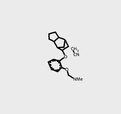 CC#N.CNCOc1ccccc1OC1CC2CC1C1CCCC21